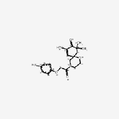 CC1(C)CC2(C=C(N)C1=O)CN(C(=O)COc1ccc(F)cc1)CCO2